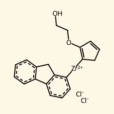 OCCOC1=[C]([Zr+2][c]2cccc3c2Cc2ccccc2-3)CC=C1.[Cl-].[Cl-]